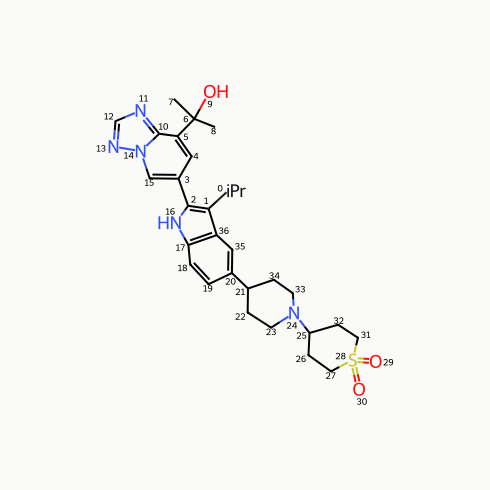 CC(C)c1c(-c2cc(C(C)(C)O)c3ncnn3c2)[nH]c2ccc(C3CCN(C4CCS(=O)(=O)CC4)CC3)cc12